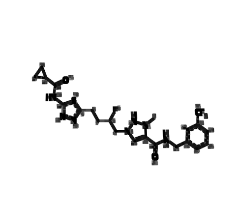 CN1NN(CC(F)CCc2nnc(NC(=O)C3CC3)s2)C=C1C(=O)NCc1cccc(C(F)(F)F)c1